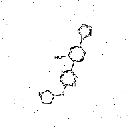 Oc1cc(-n2ccnc2)ccc1-c1ncc(SC2CCNC2)nn1